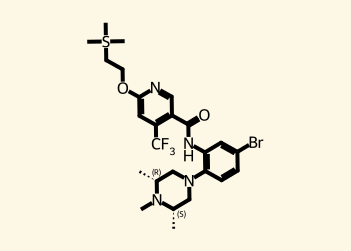 C[C@@H]1CN(c2ccc(Br)cc2NC(=O)c2cnc(OCCS(C)(C)C)cc2C(F)(F)F)C[C@H](C)N1C